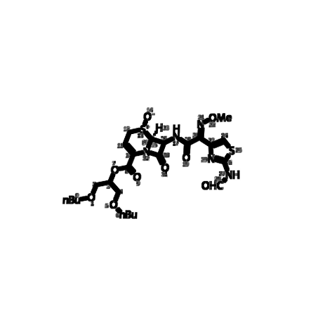 CCCCOCC(COCCCC)OC(=O)C1=CC[S+]([O-])[C@H]2C(NC(=O)C(=NOC)c3csc(NC=O)n3)C(=O)N12